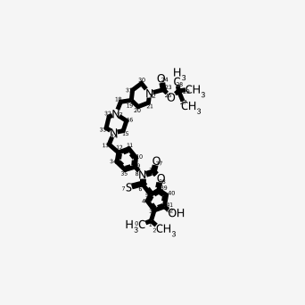 CC(C)c1cc2c(=S)n(-c3ccc(CN4CCN(CC5CCN(C(=O)OC(C)(C)C)CC5)CC4)cc3)c(=O)oc2cc1O